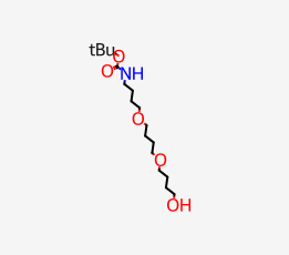 CC(C)(C)OC(=O)NCCCCOCCCCOCCCCO